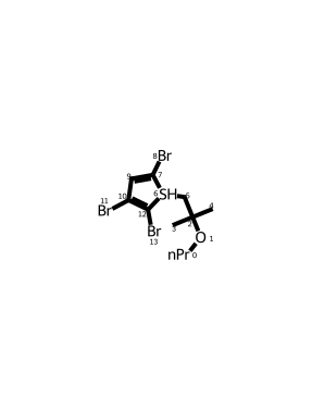 CCCOC(C)(C)C[SH]1C(Br)=CC(Br)=C1Br